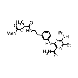 CCc1nc(C(N)=O)c(Nc2cccc(CCNC(=O)[C@H](C)OC(=O)NC)c2)nc1NC(C)C